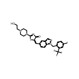 O=C1N=C(N2CCN(CCO)CC2)SC1=Cc1ccc2c(cnn2Cc2ccc(F)cc2C(F)(F)F)c1